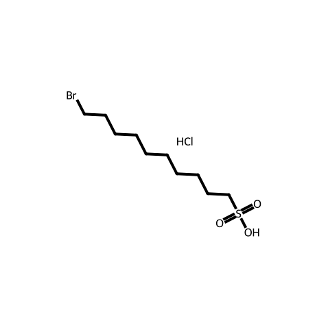 Cl.O=S(=O)(O)CCCCCCCCCCBr